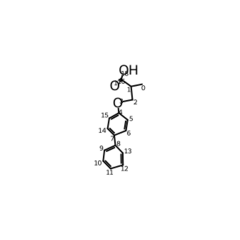 CC(COc1ccc(-c2ccccc2)cc1)C(=O)O